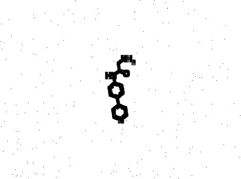 NCC(=O)Nc1ccc(-c2ccncc2)cc1